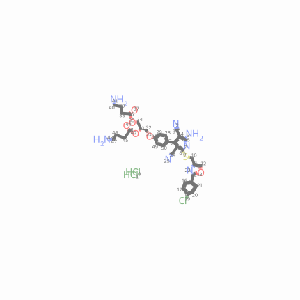 Cl.Cl.N#Cc1c(N)nc(SCc2coc(-c3ccc(Cl)cc3)n2)c(C#N)c1-c1ccc(OC[C@H](COC(=O)CCCN)OC(=O)CCCN)cc1